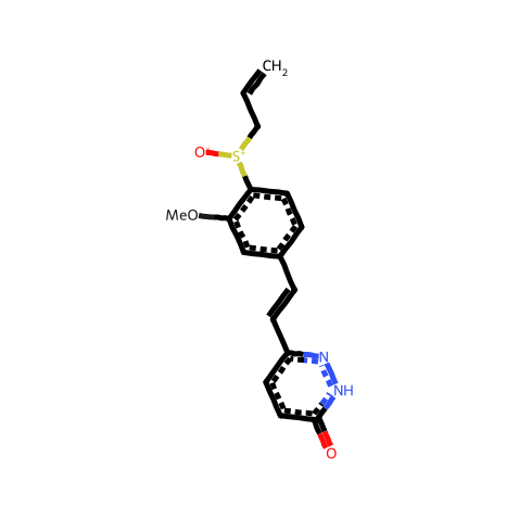 C=CC[S+]([O-])c1ccc(C=Cc2ccc(=O)[nH]n2)cc1OC